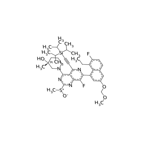 CCc1c(F)ccc2cc(OCOC)cc(-c3nc(C#C[Si](C(C)C)(C(C)C)C(C)C)c4c(N5CCC[C@@](C)(O)C5)nc([S+](C)[O-])nc4c3F)c12